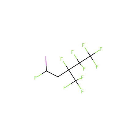 FC(I)CC(F)(C(F)(F)F)C(F)(F)C(F)(F)F